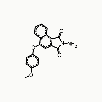 COc1ccc(Oc2cc3c(c4ccccc24)C(=O)N(N)C3=O)cc1